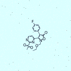 CCOCn1oc(=O)c(-c2ccc(F)cc2)c1-c1ccnc(S(C)(=O)=O)n1